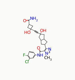 Cn1cnc(C2CC3CC(O)(C#CC4(O)CC(C(N)=O)C4)CC3C2)c1C(=O)Nc1ccc(F)c(Cl)c1